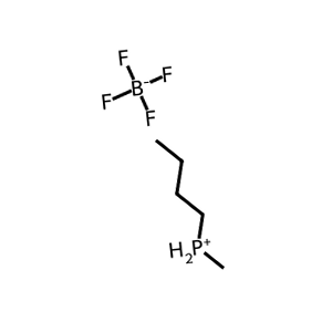 CCCC[PH2+]C.F[B-](F)(F)F